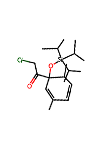 CC1=CC(O[Si](C(C)C)(C(C)C)C(C)C)(C(=O)CCl)C(C)C=C1